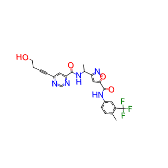 Cc1ccc(NC(=O)c2cc(C(C)NC(=O)c3cc(C#CCCO)ncn3)no2)cc1C(F)(F)F